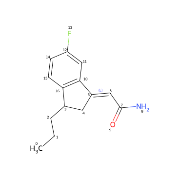 CCCC1C/C(=C\C(N)=O)c2cc(F)ccc21